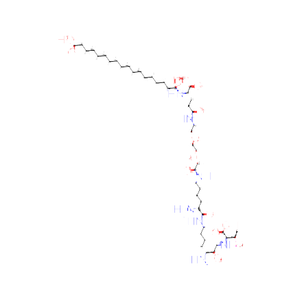 CN[C@@H](CCCCNC(=O)[C@@H](N)CCCCNC(=O)COCCOCCNC(=O)CC[C@H](NC(=O)CCCCCCCCCCCCCCCCC(=O)O)C(=O)O)C(=O)CN[C@@H](C(C)=O)C(=O)O